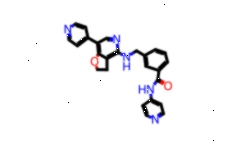 O=C(Nc1ccncc1)c1cccc(CNc2ncc(-c3ccncc3)c3c2CCO3)c1